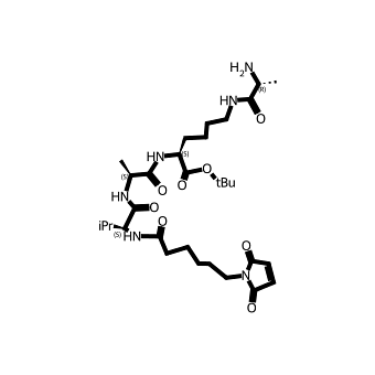 CC(C)[C@H](NC(=O)CCCCCN1C(=O)C=CC1=O)C(=O)N[C@@H](C)C(=O)N[C@@H](CCCCNC(=O)[C@@H](C)N)C(=O)OC(C)(C)C